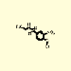 CCOc1ccc(S(=O)(=O)NCC(F)(F)F)cc1[N+](=O)[O-]